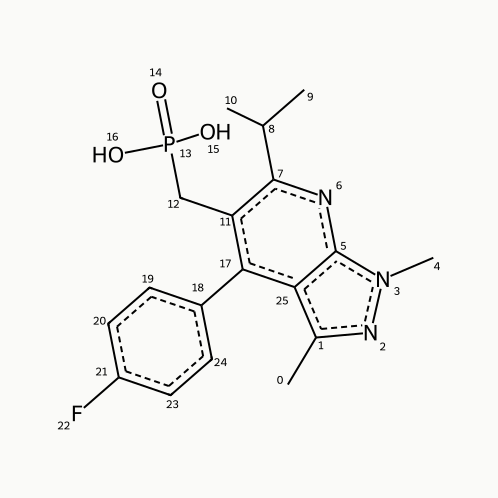 Cc1nn(C)c2nc(C(C)C)c(CP(=O)(O)O)c(-c3ccc(F)cc3)c12